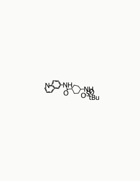 CC(C)(C)S(=O)(=O)NC1CCC(C(=O)Nc2ccc3ncccc3c2)CC1